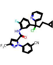 N#Cc1cccc(-n2nc(C(F)(F)F)cc2C(=O)Nc2cc(C(Cl)(CCC3CC3)c3ccccn3)ccc2F)c1